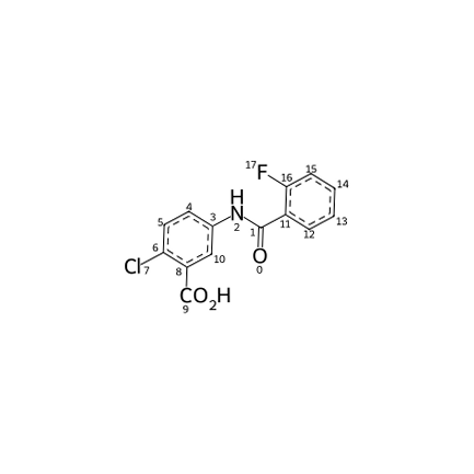 O=C(Nc1ccc(Cl)c(C(=O)O)c1)c1ccccc1F